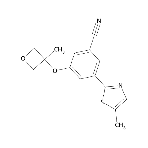 Cc1cnc(-c2cc(C#N)cc(OC3(C)COC3)c2)s1